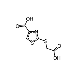 O=C(O)CSc1nc(C(=O)O)cs1